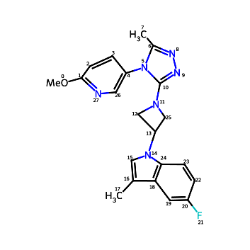 COc1ccc(-n2c(C)nnc2N2CC(n3cc(C)c4cc(F)ccc43)C2)cn1